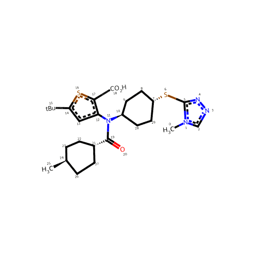 Cn1cnnc1S[C@H]1CC[C@H](N(c2cc(C(C)(C)C)sc2C(=O)O)C(=O)[C@H]2CC[C@H](C)CC2)CC1